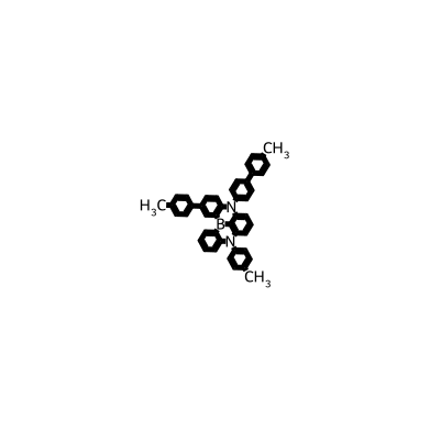 Cc1ccc(-c2ccc(N3c4ccc(-c5ccc(C)cc5)cc4B4c5ccccc5N(c5ccc(C)cc5)c5cccc3c54)cc2)cc1